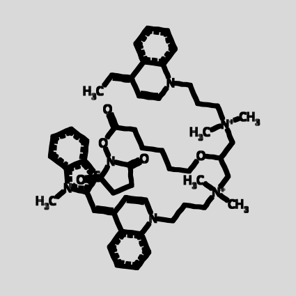 C/C=C1\C=CN(CCC[N+](C)(C)CC(C[N+](C)(C)CCCN2C=C/C(=C\c3sc4ccccc4[n+]3C)c3ccccc32)OCCCCCC(=O)ON2C(=O)CCC2=O)c2ccccc21